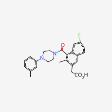 Cc1cccc(N2CCN(C(=O)c3c(C)c(CC(=O)O)cc4ccc(F)cc34)CC2)c1